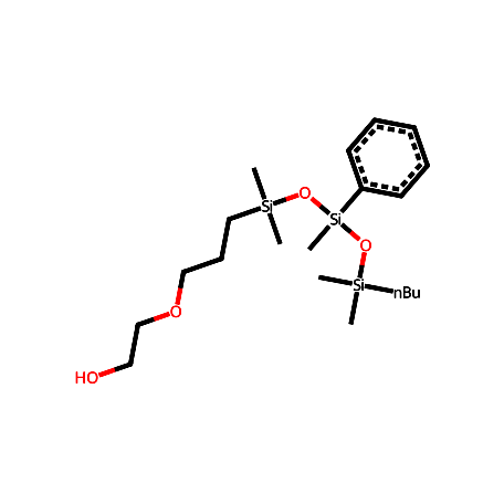 CCCC[Si](C)(C)O[Si](C)(O[Si](C)(C)CCCOCCO)c1ccccc1